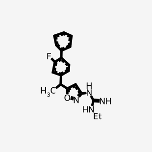 CCNC(=N)Nc1cc(C(C)c2ccc(-c3ccccc3)c(F)c2)on1